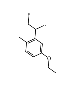 [CH2]C(CF)c1cc(OCC)ccc1C